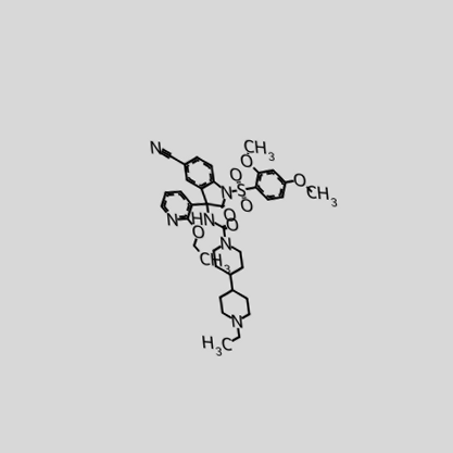 CCOc1ncccc1C1(NC(=O)N2CCC(C3CCN(CC)CC3)CC2)C(=O)N(S(=O)(=O)c2ccc(OC)cc2OC)c2ccc(C#N)cc21